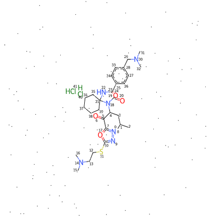 CC(C)CC(C(=O)c1nnc(SCCN(C)C)o1)N(C=O)C1(NC(=O)c2ccc(CN(C)C)cc2)CCCCC1.Cl.Cl